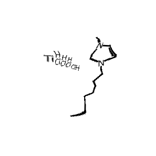 CCCCCCN1C=CN(C)C1.Cl.Cl.Cl.Cl.[Ti]